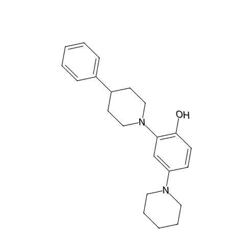 Oc1ccc(N2CCCCC2)cc1N1CCC(c2ccccc2)CC1